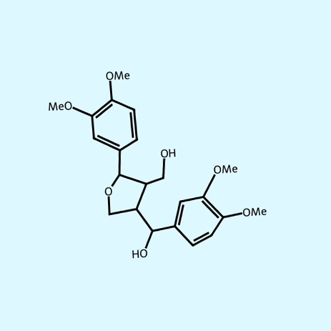 COc1ccc(C(O)C2COC(c3ccc(OC)c(OC)c3)C2CO)cc1OC